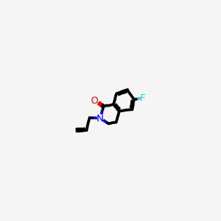 C=CCN1CCc2cc(F)ccc2C1=O